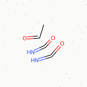 CC=O.N=C=O.N=C=O